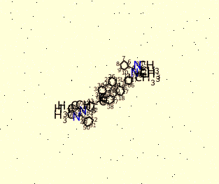 CC1(C)N=C(c2ccccc2)N(c2ccc(-c3ccc4c(c3)C3(c5ccccc5-c5ccccc53)c3c-4ccc4cc(-c5ccc(N6C(c7ccccc7)=NC(C)(C)C6(C)C)cc5)ccc34)cc2)C1(C)C